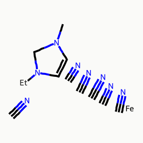 C#N.C#N.C#N.C#N.C#N.C#N.CCN1C=CN(C)C1.[Fe]